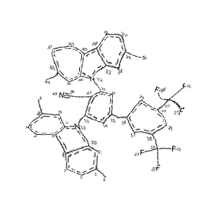 Cc1ccc2c3ccc(C)cc3n(-c3cc(-c4cc(C(F)(F)F)cc(C(F)(F)F)c4)cc(-n4c5cc(C)ccc5c5ccc(C)cc54)c3C#N)c2c1